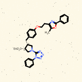 CCOC(=O)[C@H]1CN(c2nnnn2-c2ccccc2)C[C@H]1Cc1ccc(OCCc2nc(-c3ccccc3)oc2C)cc1